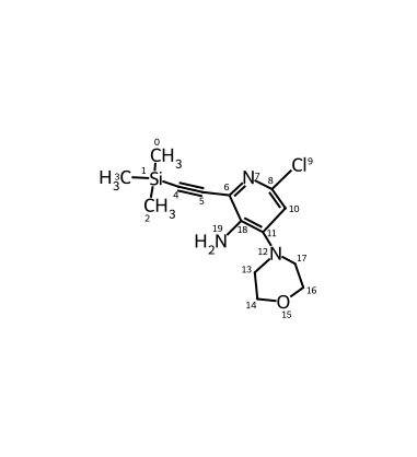 C[Si](C)(C)C#Cc1nc(Cl)cc(N2CCOCC2)c1N